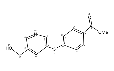 COC(=O)c1ccc(Sc2cncc(CO)c2)cc1